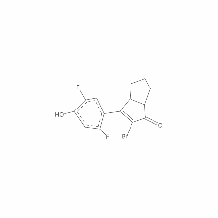 O=C1C(Br)=C(c2cc(F)c(O)cc2F)C2CCCC12